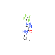 C=CCNC(=O)c1nnn(CC(F)(F)C(F)F)c1I